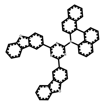 c1ccc2c3c(ccc2c1)N(c1nc(-c2ccc4oc5ccccc5c4c2)nc(-c2ccc4oc5ccccc5c4c2)n1)c1cccc2cccc-3c12